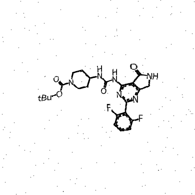 CC(C)(C)OC(=O)N1CCC(NC(=O)Nc2nc(-c3c(F)cccc3F)nc3c2C(=O)NC3)CC1